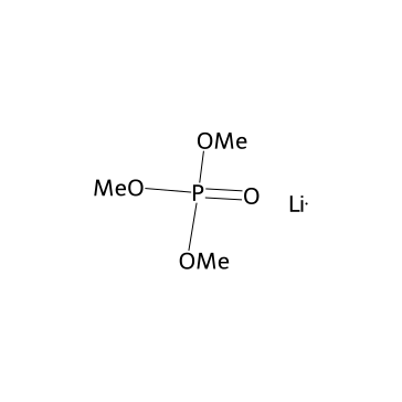 COP(=O)(OC)OC.[Li]